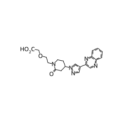 O=C(O)COCCN1CCC(n2cc(-c3cnc4ccccc4n3)cn2)CC1=O